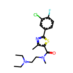 CCN(CC)CCN(C)C(=O)c1sc(-c2ccc(F)c(Cl)c2)nc1C